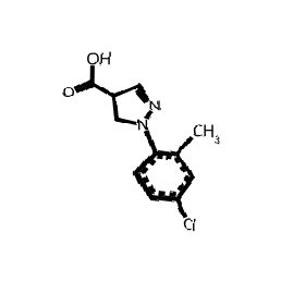 Cc1cc(Cl)ccc1N1CC(C(=O)O)C=N1